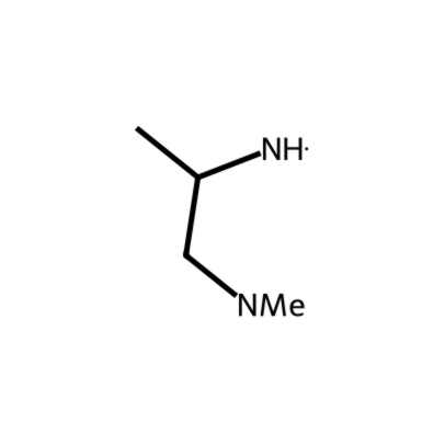 CNCC(C)[NH]